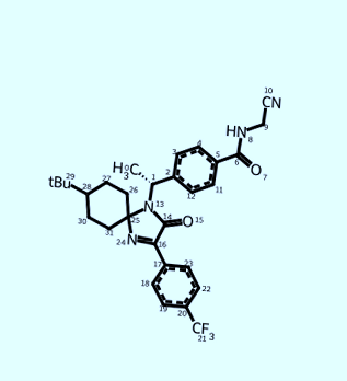 C[C@H](c1ccc(C(=O)NCC#N)cc1)N1C(=O)C(c2ccc(C(F)(F)F)cc2)=NC12CCC(C(C)(C)C)CC2